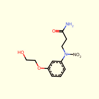 NC(=O)CCN(c1cccc(OCCO)c1)[N+](=O)[O-]